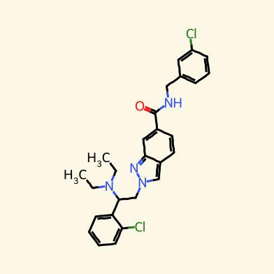 CCN(CC)C(Cn1cc2ccc(C(=O)NCc3cccc(Cl)c3)cc2n1)c1ccccc1Cl